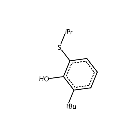 CC(C)Sc1cccc(C(C)(C)C)c1O